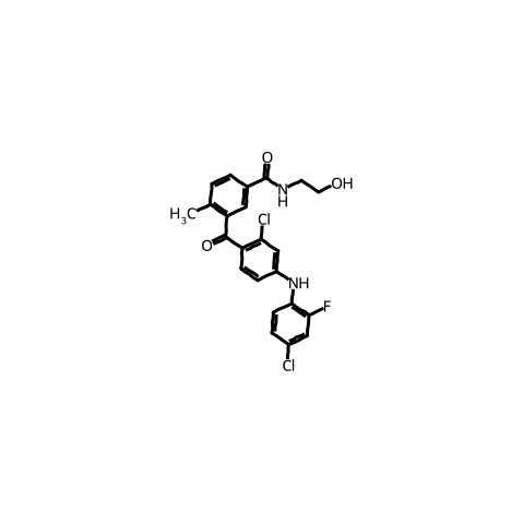 Cc1ccc(C(=O)NCCO)cc1C(=O)c1ccc(Nc2ccc(Cl)cc2F)cc1Cl